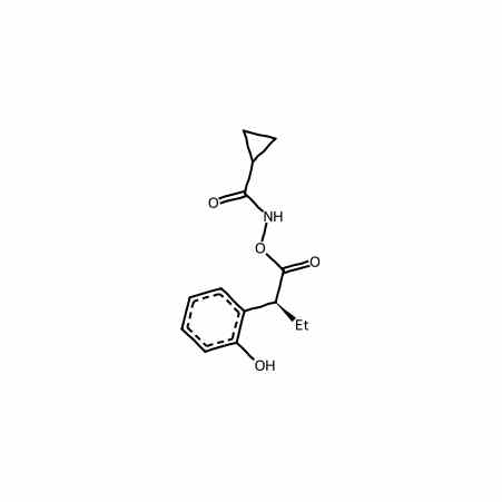 CC[C@H](C(=O)ONC(=O)C1CC1)c1ccccc1O